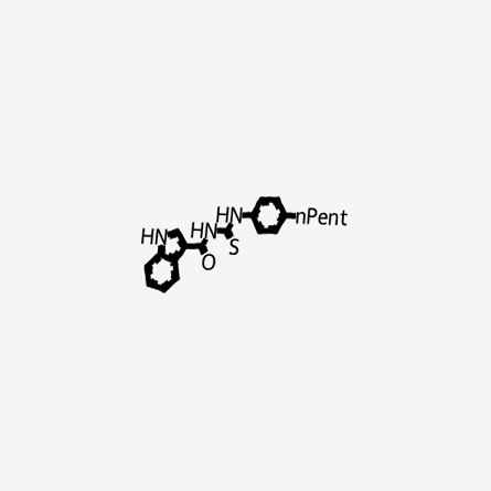 CCCCCc1ccc(NC(=S)NC(=O)c2c[nH]c3ccccc23)cc1